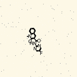 Cn1c(=O)c(C(=O)Nc2ncc(F)cn2)cc2ccccc21